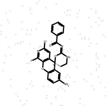 Nc1ccc2c(c1)[C@@]1(CCN/C(=N/C(=O)c3ccccc3)O1)c1cc(Cl)nc(F)c1O2